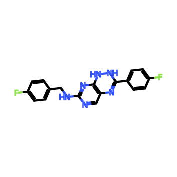 Fc1ccc(CNc2ncc3c(n2)NNC(c2ccc(F)cc2)=N3)cc1